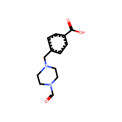 O=CN1CCN(Cc2ccc(C(=O)O)cc2)CC1